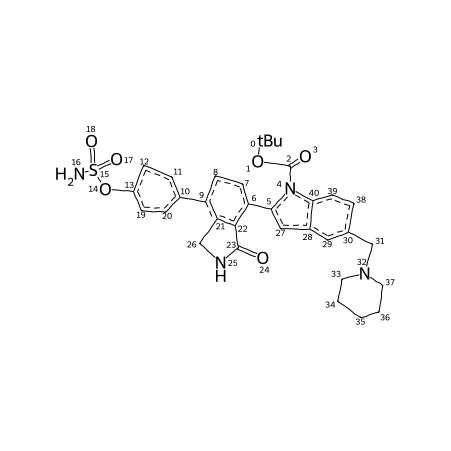 CC(C)(C)OC(=O)n1c(-c2ccc(-c3ccc(OS(N)(=O)=O)cc3)c3c2C(=O)NC3)cc2cc(CN3CCCCC3)ccc21